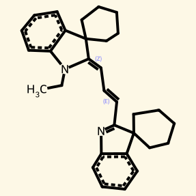 CCN1/C(=C\C=C\C2=Nc3ccccc3C23CCCCC3)C2(CCCCC2)c2ccccc21